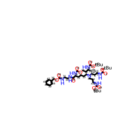 CC(C)(C)OC(=O)NCCCN(CCCCC(NC(=O)OCCC(NC(=O)OC(C)(C)C)C(C)(C)C)C(=O)NCCNC(=O)OCc1ccccc1)CCCNC(=O)OC(C)(C)C